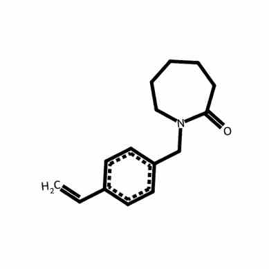 C=Cc1ccc(CN2CCCCCC2=O)cc1